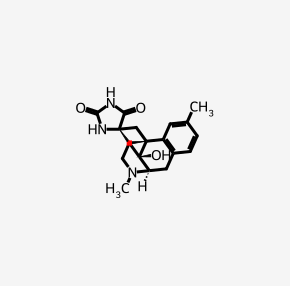 Cc1ccc2c(c1)[C@]13CCN(C)[C@H](C2)[C@]1(O)CC[C@@]1(C3)NC(=O)NC1=O